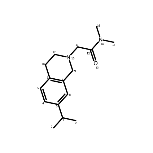 CC(C)c1ccc2c(c1)CN(CC(=O)N(C)C)CC2